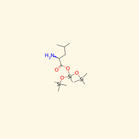 CC(C)C[C@H](N)C(=O)O[Si](C)(O[Si](C)(C)C)O[Si](C)(C)C